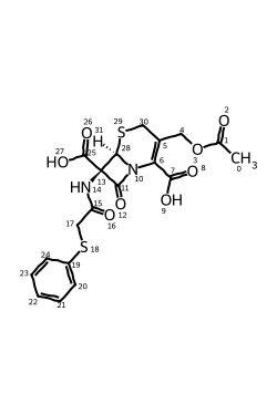 CC(=O)OCC1=C(C(=O)O)N2C(=O)[C@](NC(=O)CSc3ccccc3)(C(=O)O)[C@H]2SC1